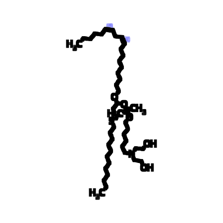 CCCCC/C=C\C/C=C\CCCCCCCCOC(CSSCCCCCCCCCCCC)O[Si](C)(C)OCCCCCCN(CCO)CCO